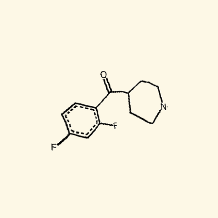 O=C(c1ccc(F)cc1F)C1CC[N]CC1